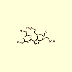 CC(C)(C)OC(=O)/N=C(\NC(=O)OC(C)(C)C)n1ncc2c1C(CNC(=O)O)N1CC2N(OS(=O)(=O)O)C1=O